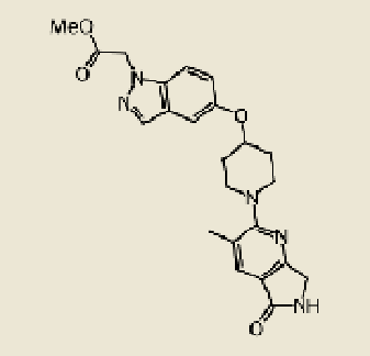 COC(=O)Cn1ncc2cc(OC3CCN(c4nc5c(cc4C)C(=O)NC5)CC3)ccc21